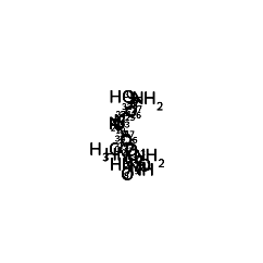 C[C@@H](NC(=O)c1[nH]c(=O)[nH]c(=O)c1N)c1cccc(-c2cnn(Cc3cccc(C(N)O)c3)c2)c1